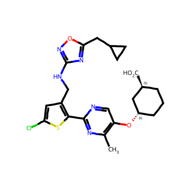 Cc1nc(-c2sc(Cl)cc2CNc2noc(CC3CC3)n2)ncc1O[C@H]1CCC[C@H](C(=O)O)C1